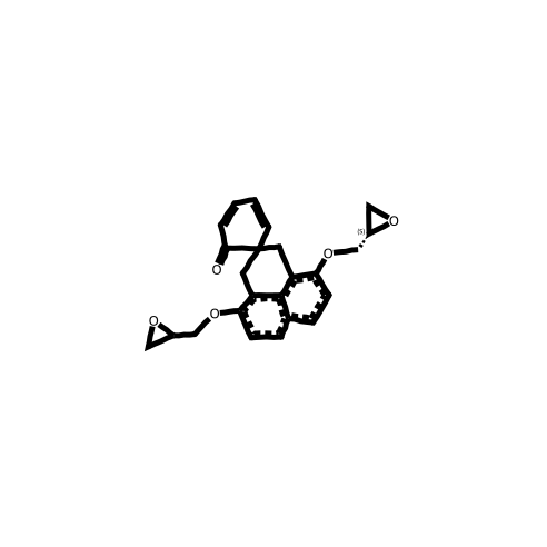 O=C1C=CC=CC12Cc1c(OCC3CO3)ccc3ccc(OC[C@@H]4CO4)c(c13)C2